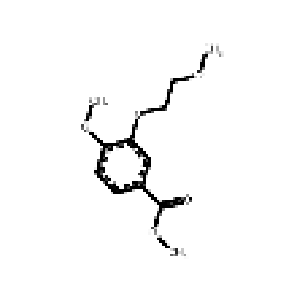 COCCOc1cc(C(=O)OC)ccc1OC